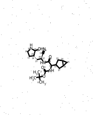 CC(C)(C)OC(=O)NC(C(=O)N[C@H](C#N)C[C@@H]1CCNC1O)C1CC2CC2C1